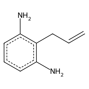 C=CCc1c(N)cccc1N